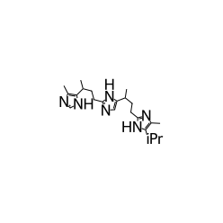 Cc1nc(CCC(C)c2cnc(CCC(C)c3[nH]cnc3C)[nH]2)[nH]c1C(C)C